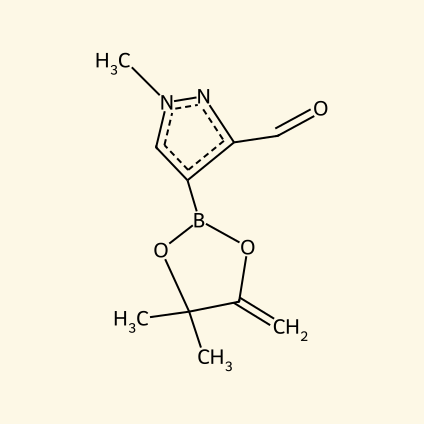 C=C1OB(c2cn(C)nc2C=O)OC1(C)C